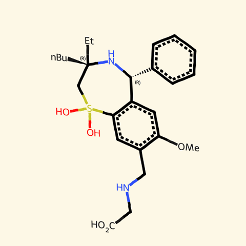 CCCC[C@]1(CC)CS(O)(O)c2cc(CNCC(=O)O)c(OC)cc2[C@@H](c2ccccc2)N1